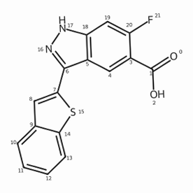 O=C(O)c1cc2c(-c3cc4ccccc4s3)n[nH]c2cc1F